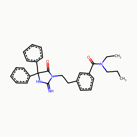 CCCN(CC)C(=O)c1cccc(CCN2C(=N)NC(c3ccccc3)(c3ccccc3)C2=O)c1